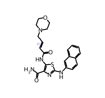 NC(=O)c1nc(Nc2ccc3ccccc3c2)sc1NC(=O)/C=C/CN1CCOCC1